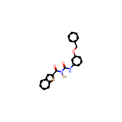 O=C(Nc1cccc(OCc2ccccc2)c1)N(S)C(=O)c1cc2ccccc2s1